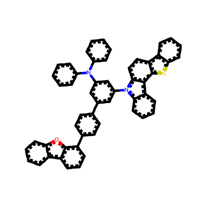 c1ccc(N(c2ccccc2)c2cc(-c3ccc(-c4cccc5c4oc4ccccc45)cc3)cc(-n3c4ccccc4c4c5sc6ccccc6c5ccc43)c2)cc1